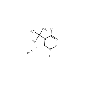 CC(C)(C)N(CB(F)F)C(=O)[O-].[F-].[K+].[K+]